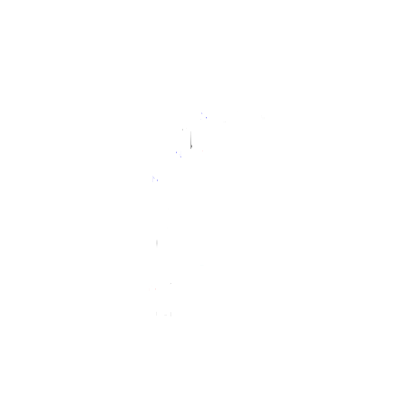 CC(C)(C)OC(=O)c1ccc(-c2ccc(NC(=O)[C@H]3CCCN3C(=O)OC(C)(C)C)nc2)cc1F